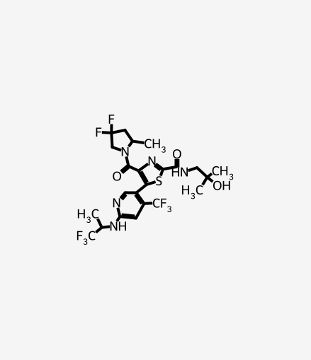 CC1CC(F)(F)CN1C(=O)c1nc(C(=O)NCC(C)(C)O)sc1-c1cnc(NC(C)C(F)(F)F)cc1C(F)(F)F